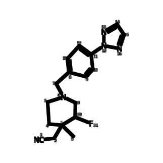 CC1(CC#N)CCN(Cc2ccc(-n3nccn3)cc2)CC1F